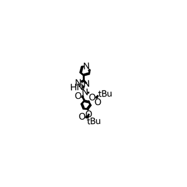 CN(C(=O)c1ccc(OC(=O)C(C)(C)C)cc1OC(=O)C(C)(C)C)c1nc(-c2ccncc2)n[nH]1